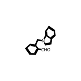 O=Cc1ccccc1Cn1ccc2ccccc21